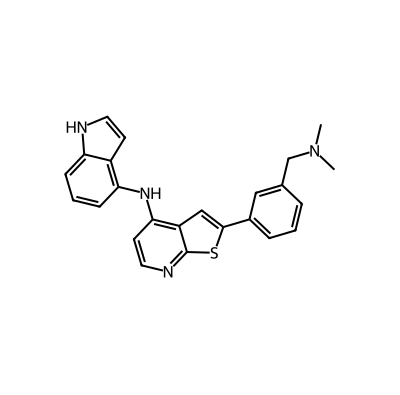 CN(C)Cc1cccc(-c2cc3c(Nc4cccc5[nH]ccc45)ccnc3s2)c1